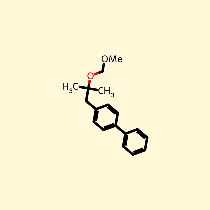 COCOC(C)(C)Cc1ccc(-c2ccccc2)cc1